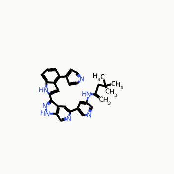 C=C(CC(C)(C)C)Nc1cncc(-c2cc3c(-c4cc5c(-c6ccncc6)cccc5[nH]4)n[nH]c3cn2)c1